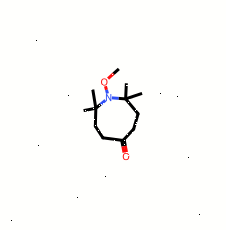 CON1C(C)(C)CCC(=O)CCC1(C)C